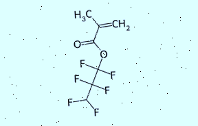 C=C(C)C(=O)OC(F)(F)C(F)(F)C(F)F